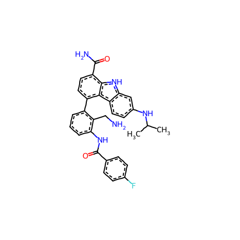 CC(C)Nc1ccc2c(c1)[nH]c1c(C(N)=O)ccc(-c3cccc(NC(=O)c4ccc(F)cc4)c3CN)c12